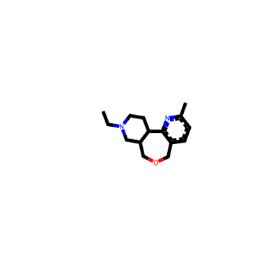 CCN1CCC2c3nc(C)ccc3COCC2C1